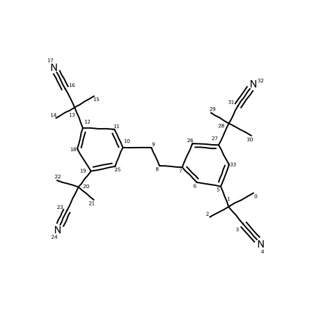 CC(C)(C#N)c1cc(CCc2cc(C(C)(C)C#N)cc(C(C)(C)C#N)c2)cc(C(C)(C)C#N)c1